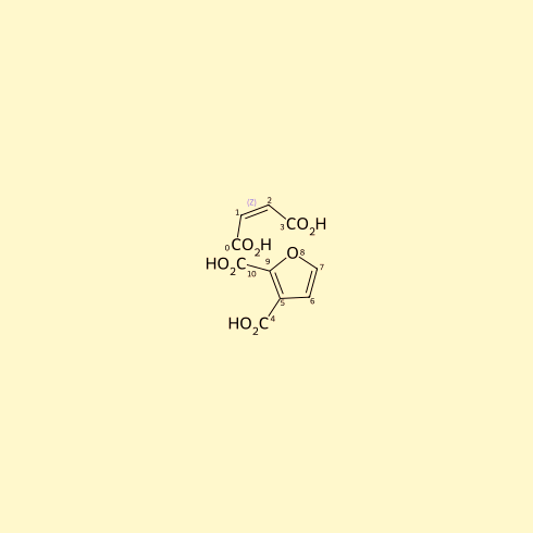 O=C(O)/C=C\C(=O)O.O=C(O)c1ccoc1C(=O)O